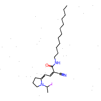 CCCCCCCCCCCCNC(=O)C(C#N)=CC=C1CCCN1C(C)I